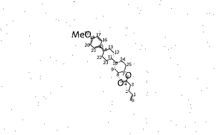 C=CCCC(=O)O[C@H]1CC[C@H]([C@H]2CC[C@H](c3ccc(OC)cc3)CC2)CC1